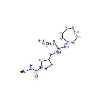 CCCCNC(=O)N1CCC(CNC(=O)N[C]2CCCCCCC2)C1.[CH2].[CH2]